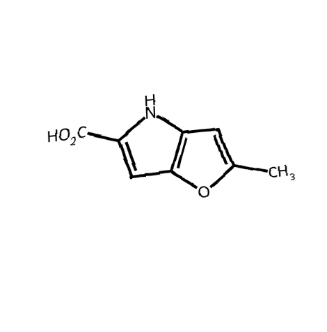 Cc1cc2[nH]c(C(=O)O)cc2o1